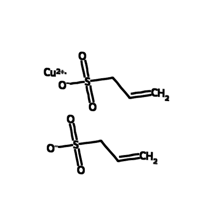 C=CCS(=O)(=O)[O-].C=CCS(=O)(=O)[O-].[Cu+2]